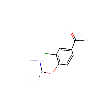 CCC(=O)c1ccc(OC(NC(C)(C)C)C(=O)O)c(Cl)c1